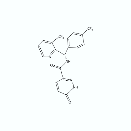 O=C(N[C@@H](c1ccc(C(F)(F)F)cc1)c1ncccc1C(F)(F)F)c1ccc(=O)[nH]n1